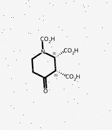 O=C(O)[C@@H]1C(=O)CCN(C(=O)O)[C@@H]1C(=O)O